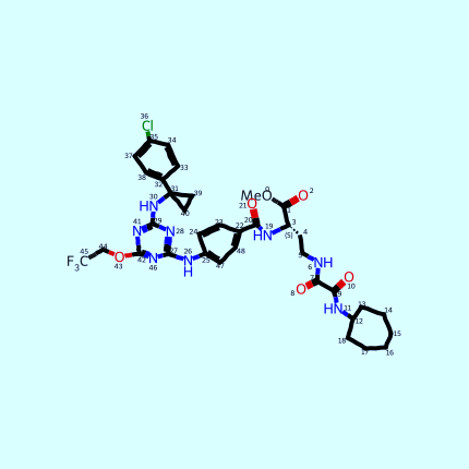 COC(=O)[C@H](CCNC(=O)C(=O)NC1CCCCCC1)NC(=O)c1ccc(Nc2nc(NC3(c4ccc(Cl)cc4)CC3)nc(OCC(F)(F)F)n2)cc1